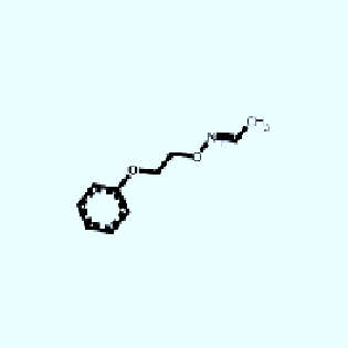 C/C=N/OCCOc1ccccc1